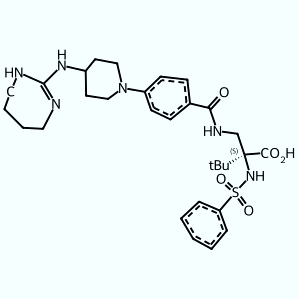 CC(C)(C)[C@@](CNC(=O)c1ccc(N2CCC(NC3=NCCCCN3)CC2)cc1)(NS(=O)(=O)c1ccccc1)C(=O)O